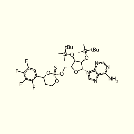 CC(C)(C)[Si](C)(C)O[C@@H]1[C@H](O[Si](C)(C)C(C)(C)C)[C@@H](COP2(=S)OCCC(c3cc(F)c(F)c(F)c3F)O2)O[C@H]1n1cnc2c(N)ncnc21